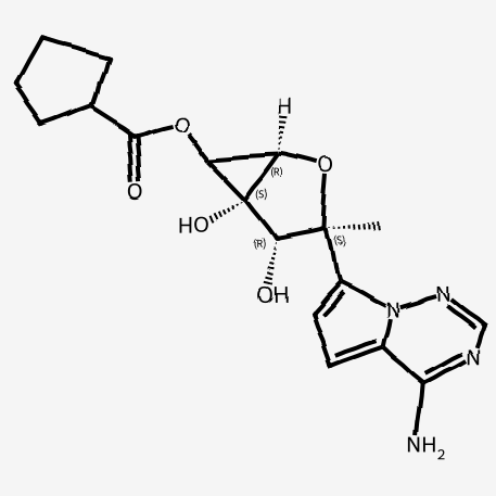 C[C@@]1(c2ccc3c(N)ncnn23)O[C@@H]2C(OC(=O)C3CCCC3)[C@]2(O)[C@H]1O